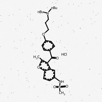 CCCCN(CCCC)CCCOc1ccc(C(=O)c2c(C)oc3ccc(NS(C)(=O)=O)cc23)cc1.Cl